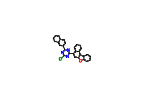 Clc1nc(-c2ccc3ccccc3c2)nc(-c2cc3oc4ccccc4c3c3ccccc23)n1